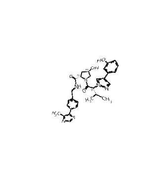 Cc1ncsc1-c1ccc(CNC(=O)[C@@H]2C[C@@H](O)CN2C(=O)[C@@H](C(C)C)n2cc(-c3cccc(O)c3)cn2)cc1